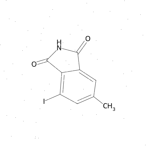 Cc1cc(I)c2c(c1)C(=O)NC2=O